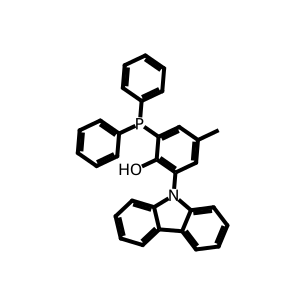 Cc1cc(-n2c3ccccc3c3ccccc32)c(O)c(P(c2ccccc2)c2ccccc2)c1